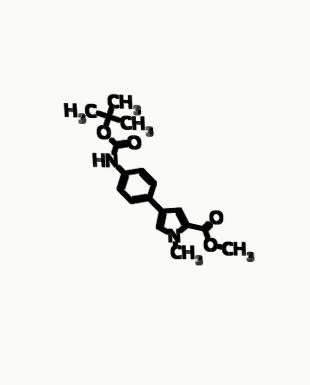 COC(=O)c1cc(-c2ccc(NC(=O)OC(C)(C)C)cc2)cn1C